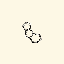 [c]1cc2sc3ccccc3c2s1